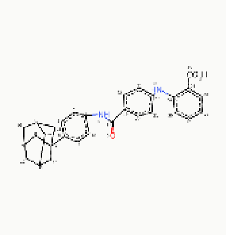 O=C(Nc1ccc(C23CC4CC(CC(C4)C2)C3)cc1)c1ccc(Nc2ccccc2C(=O)O)cc1